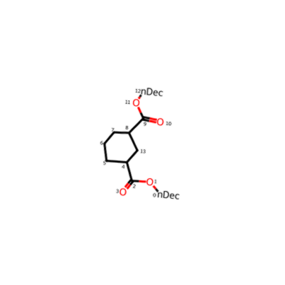 CCCCCCCCCCOC(=O)C1CCCC(C(=O)OCCCCCCCCCC)C1